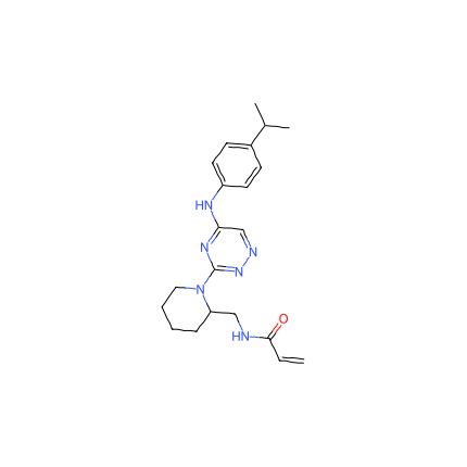 C=CC(=O)NCC1CCCCN1c1nncc(Nc2ccc(C(C)C)cc2)n1